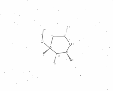 CO[C@]1(C)C[C@H](C)O[C@@H](C)[C@@H]1C